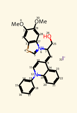 COc1cc2sc[n+](C(C=C3C=CN(c4ccccc4)c4ccccc43)CO)c2cc1OC.[I-]